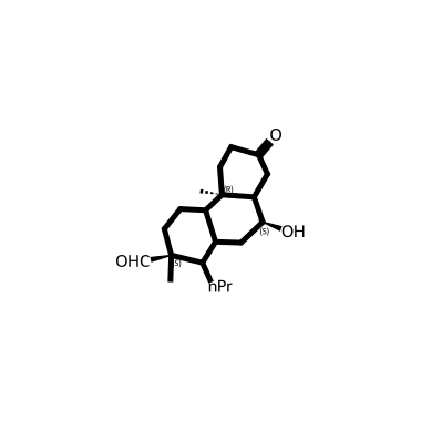 CCCC1C2C[C@H](O)C3CC(=O)CC[C@]3(C)C2CC[C@]1(C)C=O